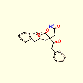 NC(=O)CC(CC(=O)Cc1ccccc1)(C(=O)Cc1ccccc1)C(=O)C(=O)O